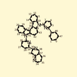 c1ccc(-c2cccc(-n3c4ccccc4c4c5c6ccccc6n(-c6cccc(-c7cc8ncccc8cn7)n6)c5ccc43)n2)cc1